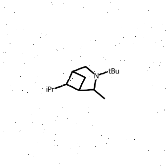 CC(C)C1C2CC1C(C)N(C(C)(C)C)C2